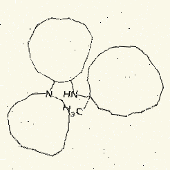 CC1(NC2CCCCCCCCCCC2N2CCCCCCCCCCC2)CCCCCCCCCCCCC1